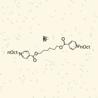 CCCCCCCC[n+]1ccc(C(=O)OCCCCCCOC(=O)c2cc[n+](CCCCCCCC)cc2)cc1.[Br-].[Br-]